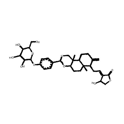 C=C1CCC2C3(C)COC(c4ccc(OC5OC(CO)C(O)C(O)C5O)cc4)OC3CCC2(C)C1CC=C1C(=O)OCC1O